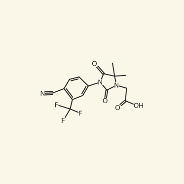 CC1(C)C(=O)N(c2ccc(C#N)c(C(F)(F)F)c2)C(=O)N1CC(=O)O